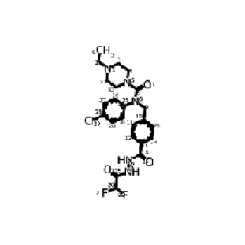 CCN1CCN(C(=O)N(Cc2ccc(C(=O)NNC(=O)C(F)F)cc2)c2ccc(Cl)cc2)CC1